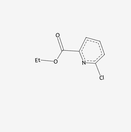 CCOC(=O)c1cccc(Cl)n1